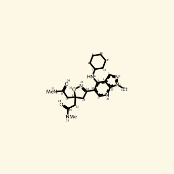 CCn1ncc2c(NC3CCCCC3)c(C3=NOC(CC(=O)NC)(CC(=O)NC)C3)cnc21